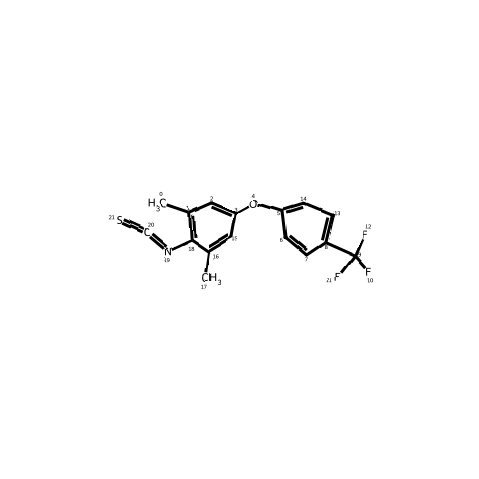 Cc1cc(Oc2ccc(C(F)(F)F)cc2)cc(C)c1N=C=S